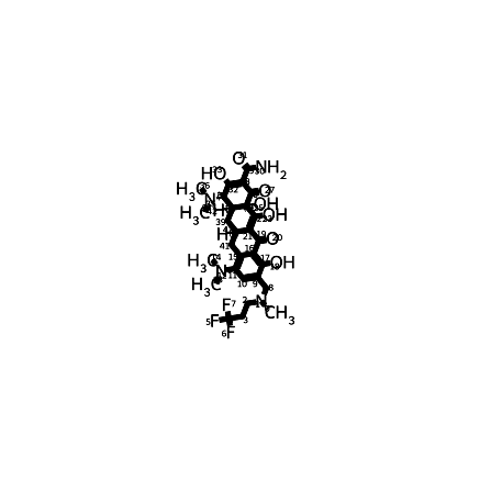 CN(CCC(F)(F)F)Cc1cc(N(C)C)c2c(c1O)C(=O)C1=C(O)[C@]3(O)C(=O)C(C(N)=O)=C(O)[C@@H](N(C)C)[C@@H]3C[C@@H]1C2